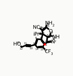 Cc1n[nH]c2c1C(c1cc(C#CCO)cc(C(F)(F)F)c1)(C(C)C)C(C#N)=C(N)O2